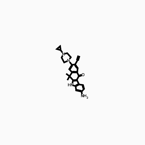 C#Cc1cc2c(cc1N1CCN(C3CC3)CC1)C(C)(C)c1[nH]c3cc(N)ccc3c1C2=O